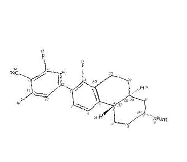 CCCCC[C@@H]1CC[C@@H]2c3ccc(-c4cc(F)c(C#N)c(F)c4)c(F)c3CC[C@H]2C1